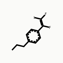 CCCc1ccc(/C(F)=C(/F)I)cc1